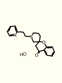 Cl.O=C1CC2(CCCN(CCc3ccccn3)C2)Oc2ccccc21